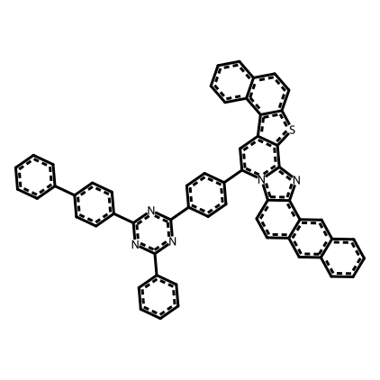 c1ccc(-c2ccc(-c3nc(-c4ccccc4)nc(-c4ccc(-c5cc6c(sc7ccc8ccccc8c76)c6nc7c8cc9ccccc9cc8ccc7n56)cc4)n3)cc2)cc1